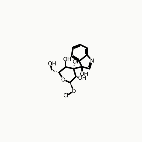 OC[C@H]1O[C@H](OCl)[C@@H](O)[C@](O)(C2(O)C=Nc3ccccc32)[C@@H]1O